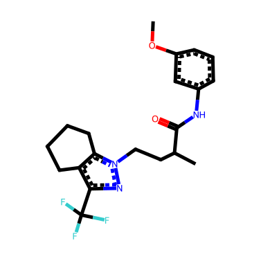 COc1cccc(NC(=O)C(C)CCn2nc(C(F)(F)F)c3c2CCCC3)c1